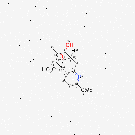 COc1ccc2c(n1)C[C@H]1C(=O)[C@]2(C(=O)O)CC(C)C1O